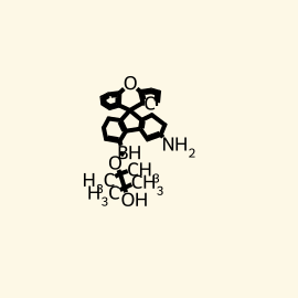 CC(C)(O)C(C)(C)OBC1=CCCC2=C1C1=C(CCC(N)=C1)C21c2ccccc2Oc2ccccc21